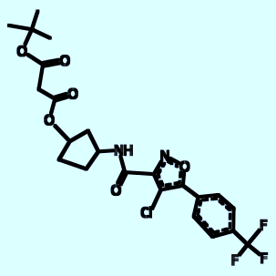 CC(C)(C)OC(=O)CC(=O)OC1CCC(NC(=O)c2noc(-c3ccc(C(F)(F)F)cc3)c2Cl)C1